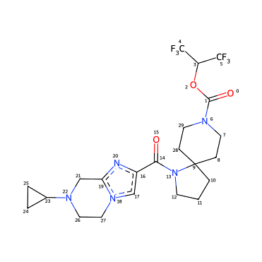 O=C(OC(C(F)(F)F)C(F)(F)F)N1CCC2(CCCN2C(=O)c2cn3c(n2)CN(C2CC2)CC3)CC1